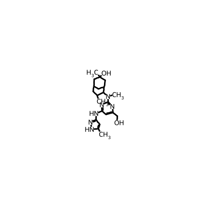 Cc1cc(Nc2cc(CO)nc(N(C)C3C(C)CC4CC3CC(C)(O)C4)n2)n[nH]1